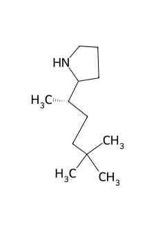 C[C@@H](CCC(C)(C)C)C1CCCN1